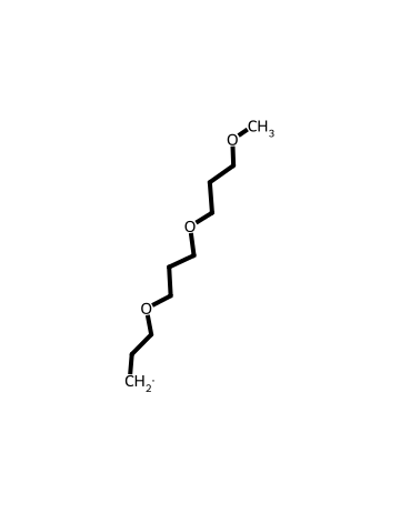 [CH2]CCOCCCOCCCOC